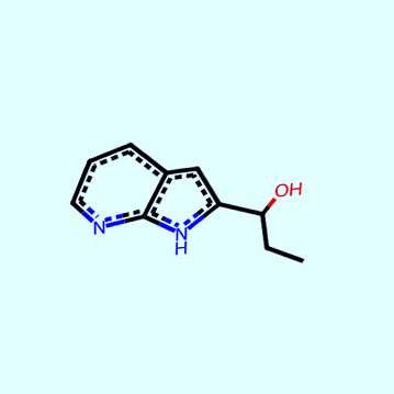 CCC(O)c1cc2cccnc2[nH]1